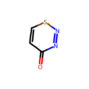 O=c1ccsnn1